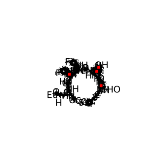 CCC(=O)NCCCC[C@@H]1NC(=O)CCSCc2cccc(c2)CSCCN/C(=N\C=O)[C@]2(C)CCCN2C(=O)[C@H](Cc2ccc(O)cc2)NC(=O)[C@H](Cc2cnc[nH]2)NC(=O)CNC(=O)[C@H](Cc2c[nH]c3ccc(F)cc23)NC(=O)[C@H](Cc2c[nH]c3ccc(F)cc23)NC(=O)CNC1=O